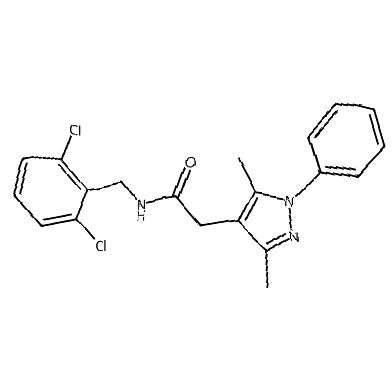 Cc1nn(-c2ccccc2)c(C)c1CC(=O)NCc1c(Cl)cccc1Cl